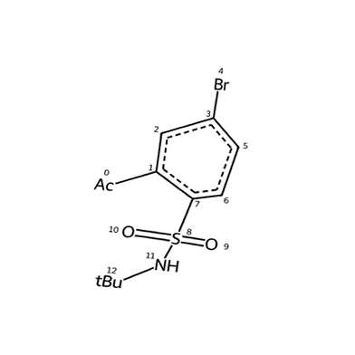 CC(=O)c1cc(Br)ccc1S(=O)(=O)NC(C)(C)C